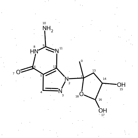 CC1(n2ncc3c(=O)[nH]c(N)nc32)CC(O)C(O)O1